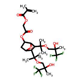 C=C(C)C(=O)OCC(=O)OC1CC2OC1C(C(C)(C)OCC(C)(O)C(F)(F)F)C2C(C)(C)OCC(C)(O)C(F)(F)F